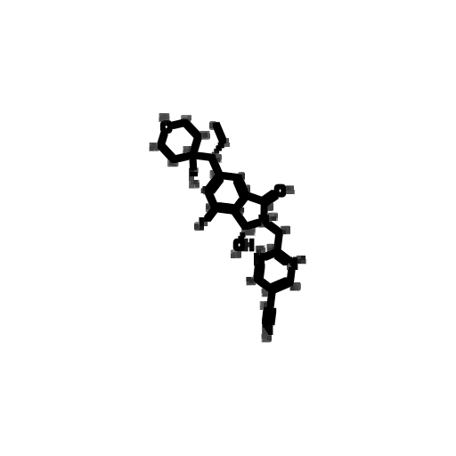 CC[C@H](c1cc(F)c2c(c1)C(=O)N(Cc1ncc(C#N)cn1)[C@@H]2O)C1(F)CCOCC1